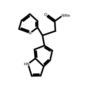 CNC(=O)CC(c1ccc2cc[nH]c2c1)c1ccccn1